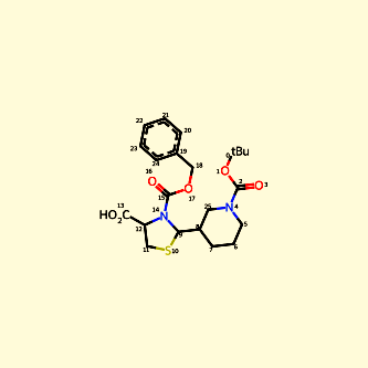 CC(C)(C)OC(=O)N1CCCC(C2SCC(C(=O)O)N2C(=O)OCc2ccccc2)C1